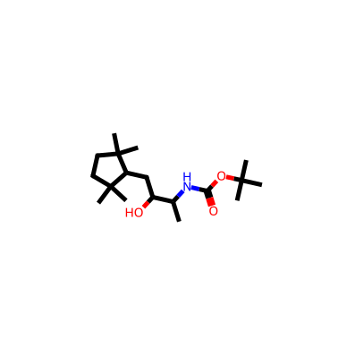 CC(NC(=O)OC(C)(C)C)C(O)CC1C(C)(C)CCC1(C)C